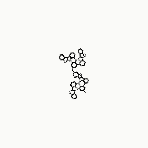 Cc1cc2c3c(c1)-n1c4c(cccc4c4sc5ccccc5c41)B3n1c3c-2cccc3c2sc3cc(Cc4cc5c6c(c4)-n4c7oc8ccccc8c7c7cccc(c74)B6n4c6c-5cccc6c5oc6ccccc6c54)ccc3c21